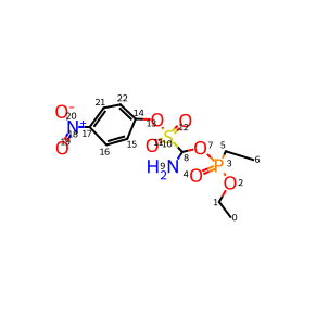 CCOP(=O)(CC)OC(N)S(=O)(=O)Oc1ccc([N+](=O)[O-])cc1